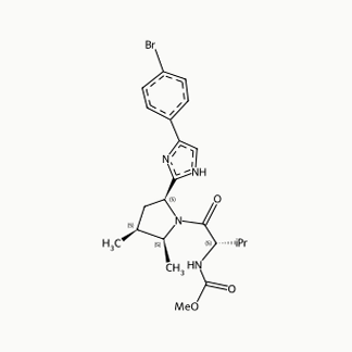 COC(=O)N[C@H](C(=O)N1[C@H](c2nc(-c3ccc(Br)cc3)c[nH]2)C[C@H](C)[C@@H]1C)C(C)C